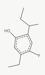 CCc1cc(O)c(C(C)CC)cc1F